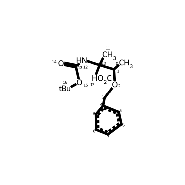 CC(OCc1ccccc1)C(C)(NC(=O)OC(C)(C)C)C(=O)O